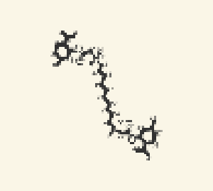 CC1CCC(C(C)C)C(OC(=O)C[N+](C)(C)CCCCCCCCCC[N+](C)(C)CC(=O)OC2CC(C)CCC2C(C)C)C1